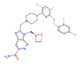 NC(=O)c1cc2nc(CN3CCC(c4nc(OCc5ccc(Cl)cc5F)c(F)cc4F)CC3)n(C[C@@H]3CCO3)c2nn1